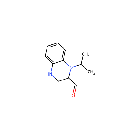 CC(C)N1c2ccccc2NCC1C=O